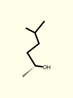 CC(C)CC[C@@H](C)O